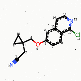 N#CCC1(COc2ccc3c(Cl)nccc3c2)CC1